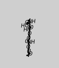 CC(C)NC(CCC(=O)NCCOCCOCC(=O)NCCOCCOCC(=O)C(C)C)C(=O)O